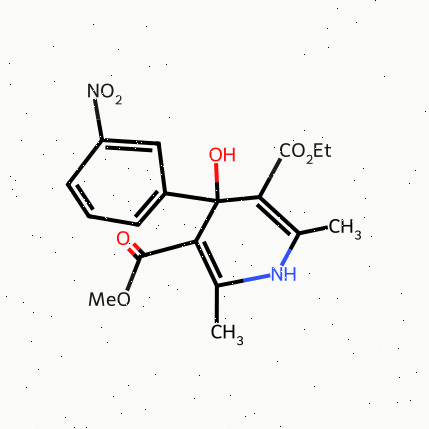 CCOC(=O)C1=C(C)NC(C)=C(C(=O)OC)C1(O)c1cccc([N+](=O)[O-])c1